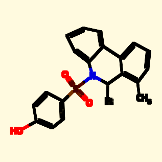 CCC1c2c(C)cccc2-c2ccccc2N1S(=O)(=O)c1ccc(O)cc1